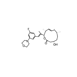 C/C(=C\c1cc(F)cc(N2CCOCC2)c1)[C@@H]1OC(=O)C[C@@H](O)CC[C@@H](C)[CH]/C=C/[C@H]1C